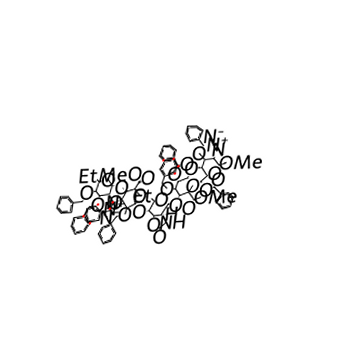 CCC1O[C@@H](O[C@H]2C(C(=O)OC)O[C@@H](O[C@@H]3C(COC(=O)c4ccccc4)O[C@H](OC)[C@@H](N=[N+]=[N-])C3OCc3ccccc3)C(OC(=O)c3ccccc3)[C@@H]2OCc2ccccc2)[C@H]2NC(=O)OC2[C@@H]1O[C@@H]1OC(C(=O)OC)[C@@H](O[C@H]2OC(CC)[C@H](OCc3ccccc3)[C@@H](OCc3ccccc3)C2N=[N+]=[N-])[C@@H](OCc2ccccc2)C1OCc1ccccc1